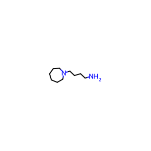 NCCCCN1CCCCCC1